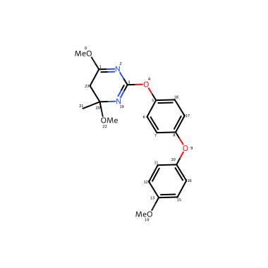 COC1=NC(Oc2ccc(Oc3ccc(OC)cc3)cc2)=NC(C)(OC)C1